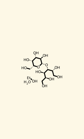 CCO.O.OC[C@@H](O)[C@@H](O[C@@H]1O[C@H](CO)[C@H](O)[C@H](O)[C@H]1O)[C@H](O)[C@@H](O)CO